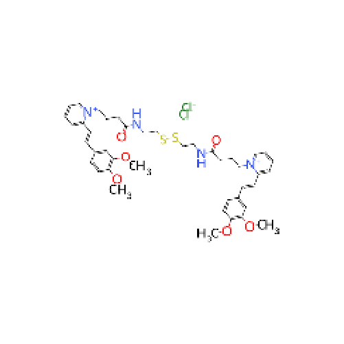 COc1ccc(/C=C/c2cccc[n+]2CCCC(=O)NCCSSCCNC(=O)CCC[n+]2ccccc2/C=C/c2ccc(OC)c(OC)c2)cc1OC.[Cl-].[Cl-]